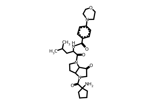 CC(C)CC(NC(=O)c1ccc(N2CCOCC2)cc1)C(=O)N1CCC2C1C(=O)CN2C(=O)C1(N)CCCC1